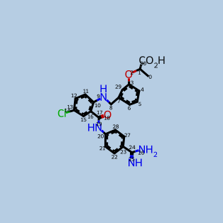 CC(Oc1cccc(CNc2ccc(Cl)cc2C(=O)Nc2ccc(C(=N)N)cc2)c1)C(=O)O